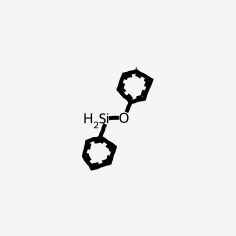 [c]1ccc(O[SiH2]c2ccccc2)cc1